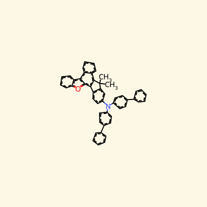 CC1(C)c2cc(N(c3ccc(-c4ccccc4)cc3)c3ccc(-c4ccccc4)cc3)ccc2-c2c1c1ccccc1c1c2oc2ccccc21